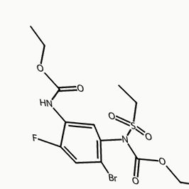 CCOC(=O)Nc1cc(N(C(=O)OCC)S(=O)(=O)CC)c(Br)cc1F